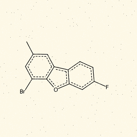 Cc1cc(Br)c2oc3cc(F)ccc3c2c1